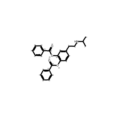 CC(C)NCCc1ccc(OC(=O)c2ccccc2)c(OC(=O)c2ccccc2)c1